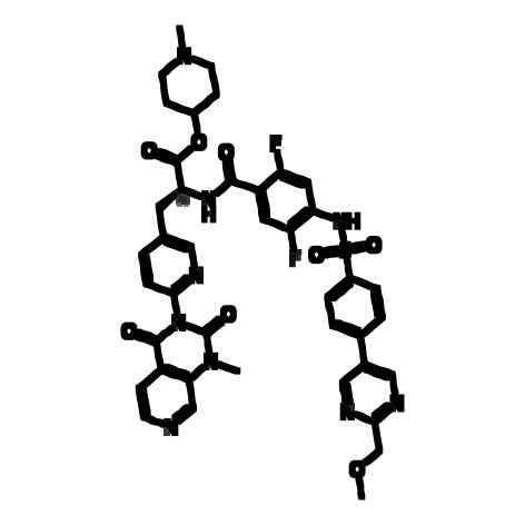 COCc1ncc(-c2ccc(S(=O)(=O)Nc3cc(F)c(C(=O)N[C@@H](Cc4ccc(-n5c(=O)c6ccncc6n(C)c5=O)nc4)C(=O)OC4CCN(C)CC4)cc3F)cc2)cn1